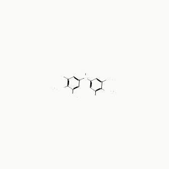 COc1c(C(C)(C)C)cc(P(Cl)c2cc(C(C)(C)C)c(OC)c(C(C)(C)C)c2)cc1C(C)(C)C